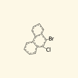 Clc1c(Br)c2ccccc2c2ccccc12